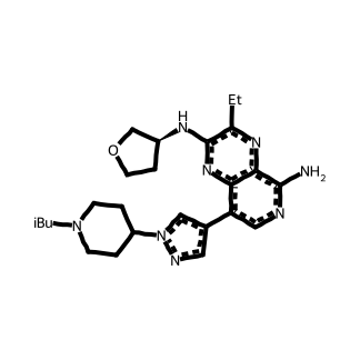 CCc1nc2c(N)ncc(-c3cnn(C4CCN(C(C)CC)CC4)c3)c2nc1N[C@H]1CCOC1